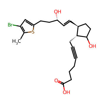 Cc1sc(CC[C@H](O)/C=C/[C@H]2CCC(O)[C@@H]2CC#CCCCC(=O)O)cc1Br